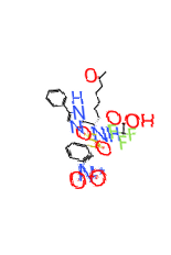 CC(=O)CCCCC[C@H](NS(=O)(=O)c1cccc([N+](=O)[O-])c1)c1ncc(-c2ccccc2)[nH]1.O=C(O)C(F)(F)F